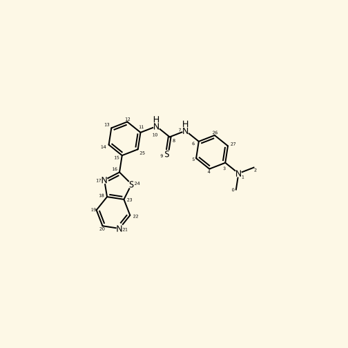 CN(C)c1ccc(NC(=S)Nc2cccc(-c3nc4ccncc4s3)c2)cc1